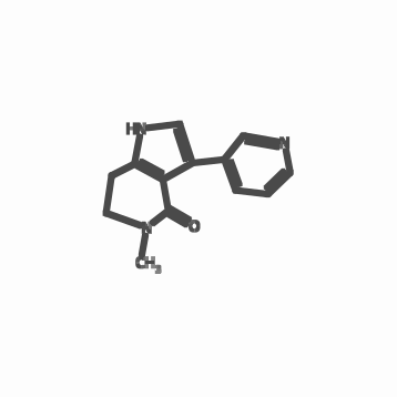 CN1CCc2[nH]cc(-c3cccnc3)c2C1=O